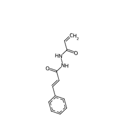 C=CC(=O)NNC(=O)/C=C/c1ccccc1